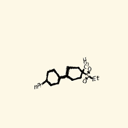 CCCC1CCC(C2CCC(C)(S(=O)(=O)CC)CC2)CC1